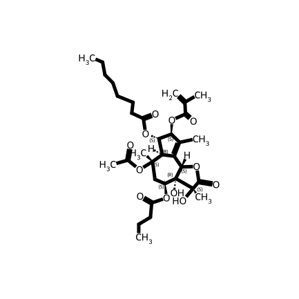 C=C(C)C(=O)O[C@H]1C(C)=C2[C@H]([C@@H]1OC(=O)CCCCCCC)[C@@](C)(OC(C)=O)C[C@H](OC(=O)CCC)[C@@]1(O)[C@H]2OC(=O)[C@@]1(C)O